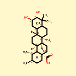 C[C@@H]1[C@H]2[C@H]3CC[C@@H]4[C@@]5(C)C[C@@H](O)[C@H](O)C(C)(C)C5CC[C@@]4(C)[C@]3(CO)CC[C@@]2(C(=O)O)CC[C@H]1C